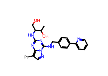 CC(C)c1cnn2c(NCc3ccc(-c4ccccn4)cc3)nc(NC(CO)C(C)O)nc12